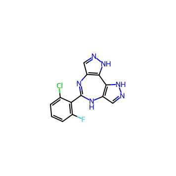 Fc1cccc(Cl)c1C1=Nc2cn[nH]c2-c2[nH]ncc2N1